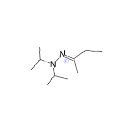 CC/C(C)=N/N(C(C)C)C(C)C